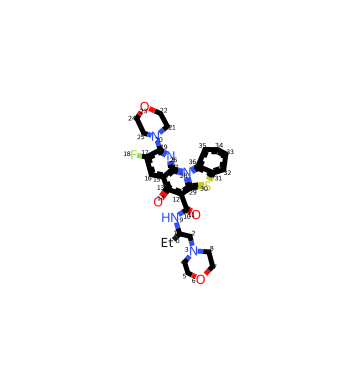 CCC(CN1CCOCC1)NC(=O)c1c(=O)c2cc(F)c(N3CCOCC3)nc2n2c1sc1ccccc12